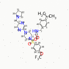 C=C(C)c1ccc(CNC(=O)[C@H]2CN(c3cnc(CN4CCCC4)cn3)CCN2S(=O)(=O)c2ccc(OC(F)(F)F)cc2)cc1